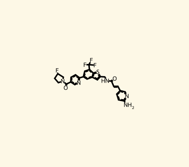 Nc1ccc(/C=C/C(=O)NCc2cc3cc(-c4ccc(C(=O)N5CC[C@H](F)C5)cn4)cc(C(F)(F)F)c3s2)cn1